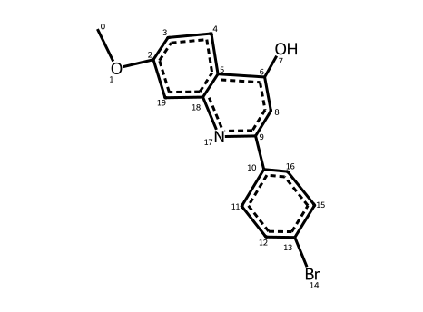 COc1ccc2c(O)cc(-c3ccc(Br)cc3)nc2c1